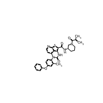 C=C(C)C(=O)N1CCC[C@@H](NC(=O)c2sc3nccc4c3c2NC(=O)N4c2ccc(Oc3ccccc3)cc2C)C1